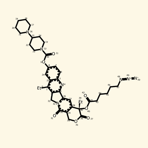 CCc1c2c(nc3ccc(OC(=O)N4CCC(N5CCCCC5)CC4)cc13)-c1cc3c(c(=O)n1C2)COC(=O)[C@@]3(CC)OC(=O)CCCCCN=[N+]=[N-]